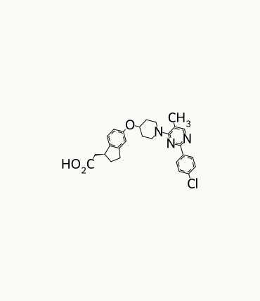 Cc1cnc(-c2ccc(Cl)cc2)nc1N1CCC(Oc2ccc3c(c2)CC[C@H]3CC(=O)O)CC1